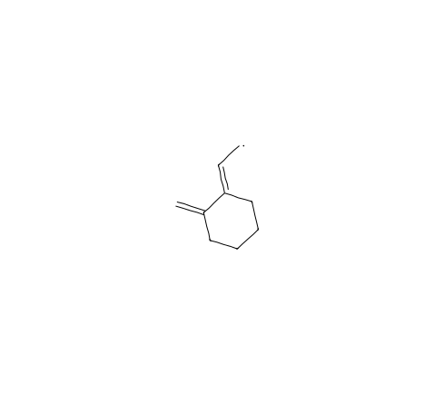 [CH2]/C=C1\CCCCC1=C